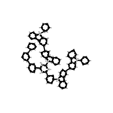 c1ccc(-c2cccc(-c3cccc(-c4nc(-c5cccc(-n6c7ccccc7c7cc(-c8ccc9c(c8)c8ccccc8n9-c8ccccc8)ccc76)c5)nc(-n5c6ccccc6c6cc(-c7ccc8c(c7)c7ccccc7n8-c7ccccc7)ccc65)n4)c3)c2)cc1